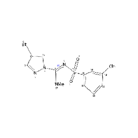 CCC1C=NN(/C(=N/S(=O)(=O)c2cccc(Cl)c2)NC)C1